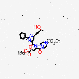 CCOC(=O)N1CCN(C(=O)C(CCC(=O)OC(C)(C)C)NC(=O)c2cc(C#C[C@H](C)O)nc(-c3ccccc3)n2)CC1